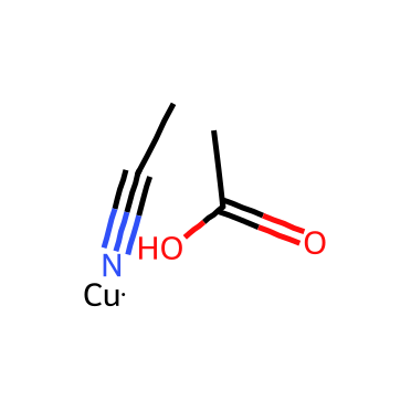 CC#N.CC(=O)O.[Cu]